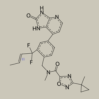 C/C=C/C(F)(F)c1cc(-c2ccnc3[nH]c(=O)[nH]c23)ccc1CN(C)C(=O)c1nc(C2(C)CC2)no1